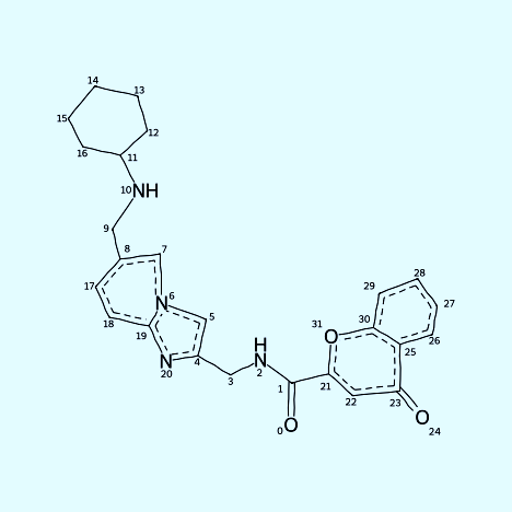 O=C(NCc1cn2cc(CNC3CCCCC3)ccc2n1)c1cc(=O)c2ccccc2o1